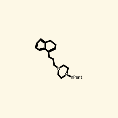 CCCCCN1CCN(CCCC2=CCCc3ccccc32)CC1